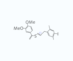 C=C(S/C=C/Cc1cc(C)c(I)cc1C)c1ccc(OC)c(OC)c1